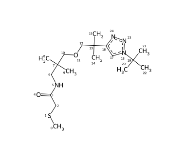 CSCC(=O)NCC(C)(C)COCC(C)(C)c1cn(C(C)(C)C)nn1